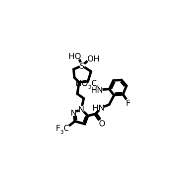 O=C(O)Nc1cccc(F)c1CNC(=O)c1cc(C(F)(F)F)nn1CCC1CCS(O)(O)CC1